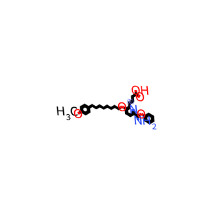 COc1ccc(CCCCCCCCOc2ccc(C(N)Oc3ccccc3)nc2/C=C/CC(=O)O)cc1